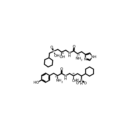 N[C@@H](Cc1c[nH]cn1)C(=O)NC[C@@H](O)CP(=O)(O)CC1CCCCC1.N[C@@H](Cc1ccc(O)cc1)C(=O)NC[C@H](O)CC(C1CCCCC1)[PH](=O)O